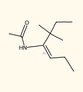 CC/C=C(/NC(C)=O)C(C)(C)CC